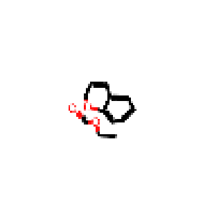 C1=Cc2ccccc2OC1.CCOC=O